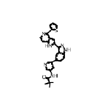 CC(C)(C)C(=O)Nc1cncc(-c2ccc3[nH]nc(-c4cc5c(-c6cccs6)nccc5[nH]4)c3c2)c1